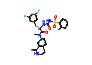 C=C1NC=Cc2ccc(N(C)C(=O)[C@H](Cc3cc(F)cc(F)c3)NC(=O)NS(=O)(=O)c3ccccc3C)cc21